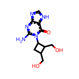 Nc1nc2nc[nH]c2c(=O)n1C1CC(CO)C1CO